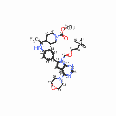 CC(C)(C)OC(=O)N1CCC(C(Nc2ccc(-c3cc4c(N5CCOCC5)ncnc4n3COCC[Si](C)(C)C)cc2)C(F)(F)F)CC1